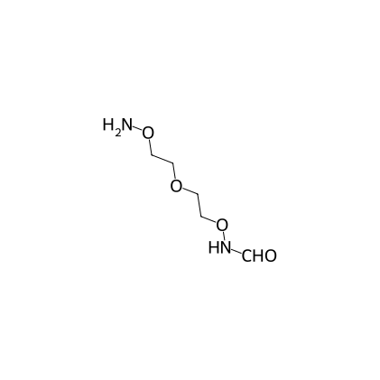 NOCCOCCONC=O